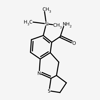 C[Si](C)(C)c1ccc2c(c1C(N)=O)CC1CCSC1=N2